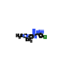 C[C@@H]1CN(C)CCN1c1ccc2nc(-c3n[nH]c4cc(Cl)ccc34)[nH]c2c1